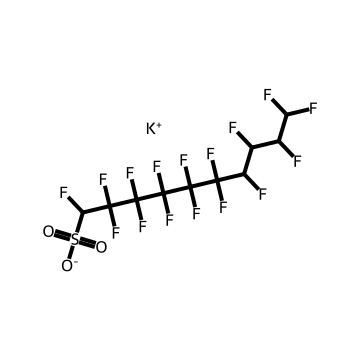 O=S(=O)([O-])C(F)C(F)(F)C(F)(F)C(F)(F)C(F)(F)C(F)(F)C(F)C(F)C(F)C(F)F.[K+]